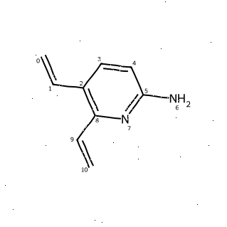 C=Cc1ccc(N)nc1C=C